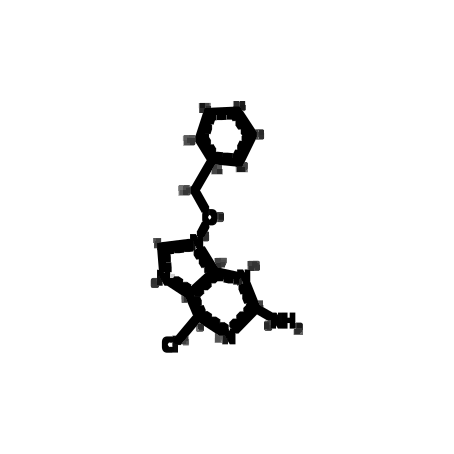 Nc1nc(Cl)c2ncn(OCc3ccccc3)c2n1